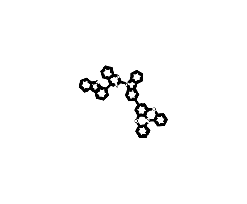 c1ccc2c(c1)Oc1cc(-c3ccc4c(c3)c3ccccc3n4-c3nc(-c4cccc5c4sc4ccccc45)c4ccccc4n3)cc3c1N2c1ccccc1O3